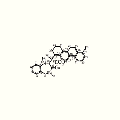 CN1Cc2ccccc2N[C@H]([C@](C)(C(=O)O)C2=c3ccc4c(c3CCC2)CC=c2c(I)cccc2=4)C1=O